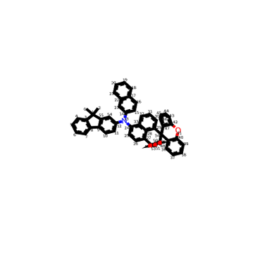 CC1(C)c2ccccc2-c2ccc(N(c3ccc4ccccc4c3)c3ccc4c5c(cccc35)C3(c5ccccc5Oc5ccccc53)c3ccccc3-4)cc21